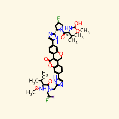 CON[C@H](C(=O)N(Cc1ncc(-c2ccc3c4c(c(=O)oc3c2)-c2ccc(-c3cnc([C@@H]5C[C@@H](F)CN5C(=O)[C@@H](NC(O)OC)C(C)C)[nH]3)cc2OC4)[nH]1)C[C@H](F)I)C(C)C